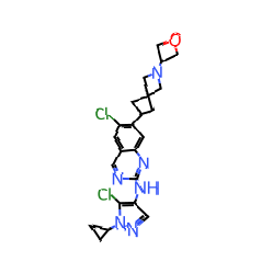 Clc1cc2cnc(Nc3cnn(C4CC4)c3Cl)nc2cc1C1CC2(C1)CN(C1COC1)C2